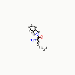 NC(CCC(=O)O)C(=O)N1Cc2ccccc2C1